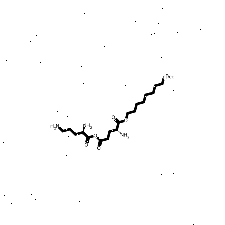 CCCCCCCCCCCCCCCCCCOC(=O)[C@H](N)CCC(=O)OC(=O)[C@H](N)CCCN